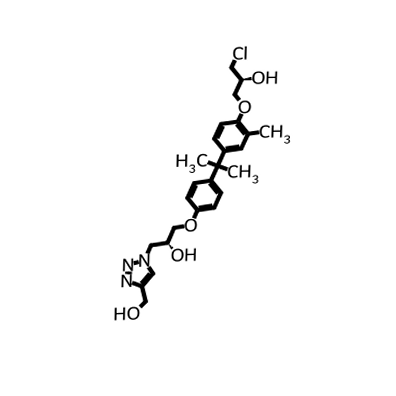 Cc1cc(C(C)(C)c2ccc(OC[C@H](O)Cn3cc(CO)nn3)cc2)ccc1OC[C@H](O)CCl